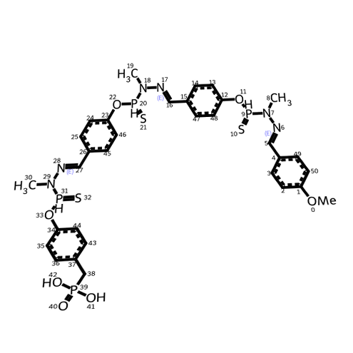 COc1ccc(/C=N/N(C)[PH](=S)Oc2ccc(/C=N/N(C)[PH](=S)Oc3ccc(/C=N/N(C)[PH](=S)Oc4ccc(CP(=O)(O)O)cc4)cc3)cc2)cc1